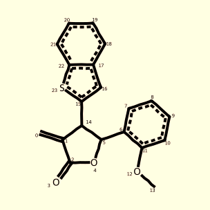 C=C1C(=O)OC(c2ccccc2OC)C1c1cc2ccccc2s1